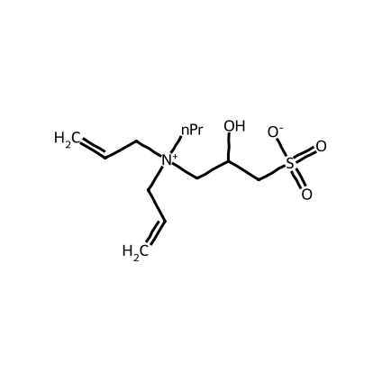 C=CC[N+](CC=C)(CCC)CC(O)CS(=O)(=O)[O-]